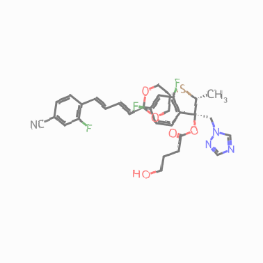 C[C@@H](S[C@H]1CO[C@H](C=CC=Cc2ccc(C#N)cc2F)OC1)[C@@](Cn1cncn1)(OC(=O)CCCO)c1ccc(F)cc1F